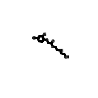 O=C(COc1ccc(Cl)cc1Cl)OCCNCCO